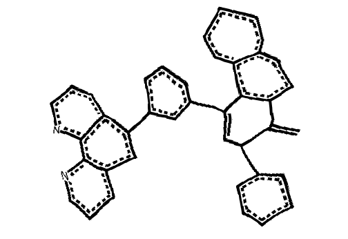 C=C1c2ccc3ccccc3c2C(c2cccc(-c3cc4cccnc4c4ncccc34)c2)=CC1c1ccccc1